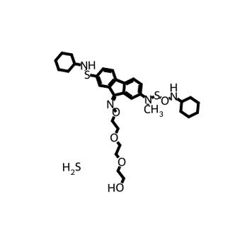 CN(SONC1CCCCC1)c1ccc2c(c1)/C(=N\OCCOCCOCCO)c1cc(SNC3CCCCC3)ccc1-2.S